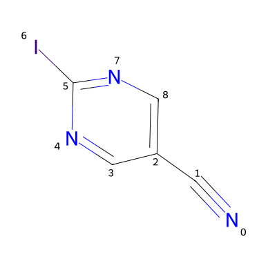 N#Cc1cnc(I)nc1